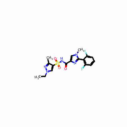 CCn1cc(S(=O)(=O)NC(=O)c2cn(C)c(-c3c(F)cccc3F)n2)c(C)n1